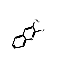 Cc1cc2ccccc2nc1[O]